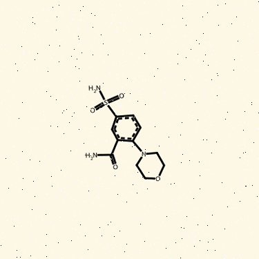 NC(=O)c1cc(S(N)(=O)=O)ccc1N1CCOCC1